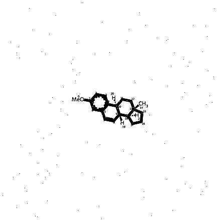 COc1ccc2c(c1)C=C[C@@H]1[C@@H]2CC[C@]2(C)CCC[C@@H]12